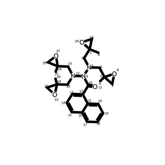 CC1(CN(CC2(C)CO2)N(C(=O)c2cccc3ccccc23)N(CC2(C)CO2)CC2(C)CO2)CO1